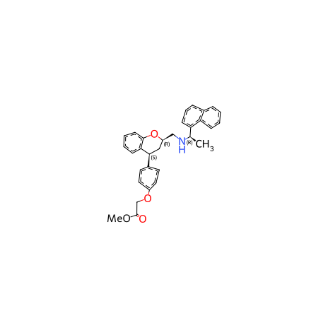 COC(=O)COc1ccc([C@@H]2C[C@H](CN[C@H](C)c3cccc4ccccc34)Oc3ccccc32)cc1